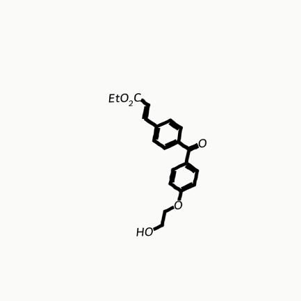 CCOC(=O)/C=C/c1ccc(C(=O)c2ccc(OCCO)cc2)cc1